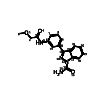 COCC(=O)Nc1cccc(-c2nn(C(N)=O)c3ccccc23)c1